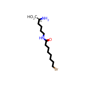 N[C@@H](CCCCNC(=O)CCCCCCCBr)C(=O)O